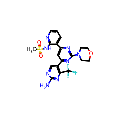 CS(=O)(=O)Nc1ncccc1-c1cc(-c2cnc(N)nc2C(F)(F)F)nc(N2CCOCC2)n1